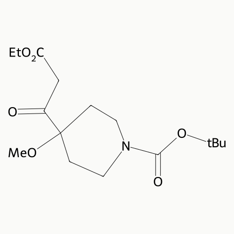 CCOC(=O)CC(=O)C1(OC)CCN(C(=O)OC(C)(C)C)CC1